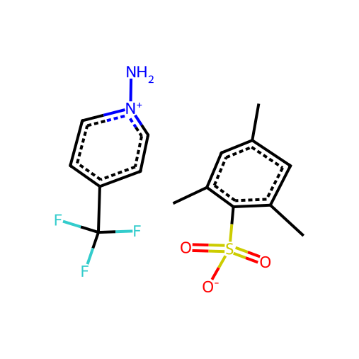 Cc1cc(C)c(S(=O)(=O)[O-])c(C)c1.N[n+]1ccc(C(F)(F)F)cc1